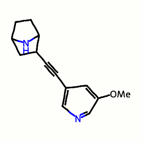 COc1cncc(C#CC2CC3CCC2N3)c1